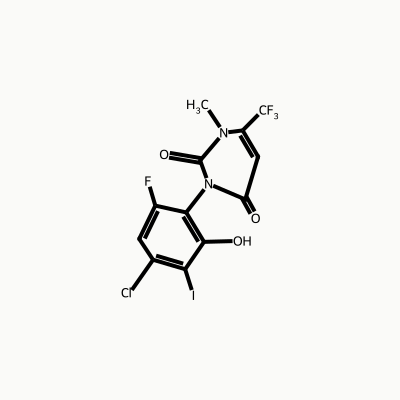 Cn1c(C(F)(F)F)cc(=O)n(-c2c(F)cc(Cl)c(I)c2O)c1=O